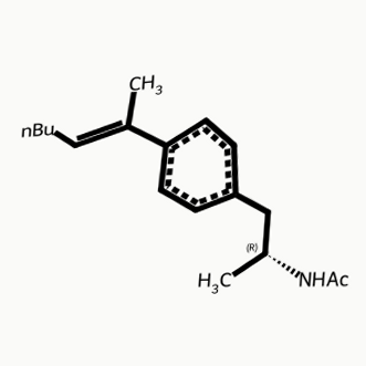 CCCCC=C(C)c1ccc(C[C@@H](C)NC(C)=O)cc1